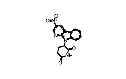 O=C1CCC(n2c3ccccc3c3cc([N+](=O)[O-])cnc32)C(=O)N1